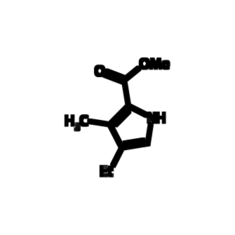 CCc1c[nH]c(C(=O)OC)c1C